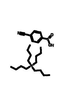 CCCC[N+](CCCC)(CCCC)CCCC.N#Cc1ccc(S(=O)O)cc1